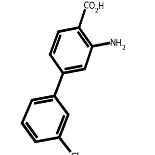 Nc1cc(-c2cccc(Cl)c2)ccc1C(=O)O